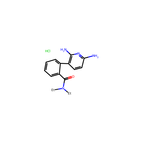 CCN(CC)C(=O)c1ccccc1-c1ccc(N)nc1N.Cl